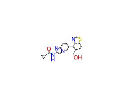 O=C(Nc1cn2cc(-c3c(CO)ccc4scnc34)ccc2n1)C1CC1